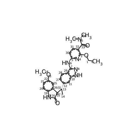 CCOc1nc(Nc2n[nH]c3cc([C@@H]4C[C@@]45C(=O)Nc4ccc(OC)cc45)ccc23)ccc1C(=O)N(C)C